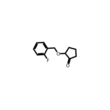 O=C1CCCC1OCc1ccccc1F